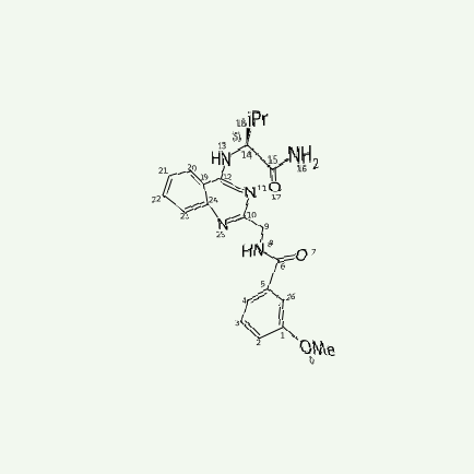 COc1cccc(C(=O)NCc2nc(N[C@H](C(N)=O)C(C)C)c3ccccc3n2)c1